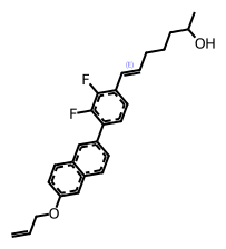 C=CCOc1ccc2cc(-c3ccc(/C=C/CCCC(C)O)c(F)c3F)ccc2c1